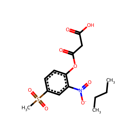 CCCC.CS(=O)(=O)c1ccc(OC(=O)CC(=O)O)c([N+](=O)[O-])c1